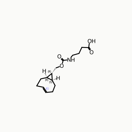 O=C(O)CCCNC(=O)OC[C@H]1[C@@H]2CC/C=C/CC[C@@H]21